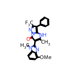 COc1cccc2c1nc(-c1c(C)[nH]c3c(-c4ccccc4)c(C(F)(F)F)nn3c1=O)n2C